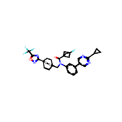 O=C(N(CC12CCC(c3noc(C(F)(F)F)n3)(CC1)CC2)c1cccc(-c2cnc(C3CC3)nc2)c1)C12CC(F)(C1)C2